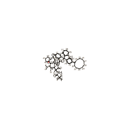 CC(C)[C@@H](C(=O)N[C@@H](CC(=O)OC(c1ccccc1)(c1ccc(C2CCCCCCCCC2)cc1)c1ccccc1Cl)C(=O)N1CCCC1)N(C)C(=O)C(C)(NC(=O)C(F)(F)F)C(C)C